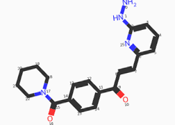 NNc1cccc(C=CC(=O)c2ccc(C(=O)N3CCCCC3)cc2)n1